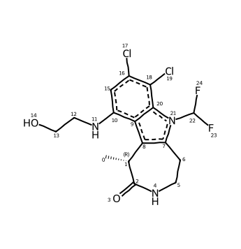 C[C@H]1C(=O)NCCc2c1c1c(NCCO)cc(Cl)c(Cl)c1n2C(F)F